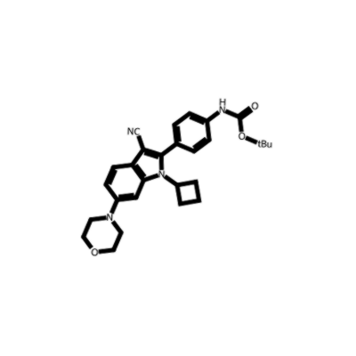 CC(C)(C)OC(=O)Nc1ccc(-c2c(C#N)c3ccc(N4CCOCC4)cc3n2C2CCC2)cc1